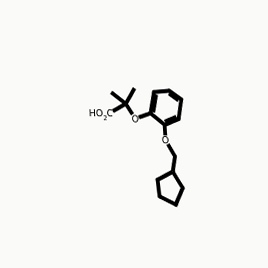 CC(C)(Oc1ccccc1OCC1CCCC1)C(=O)O